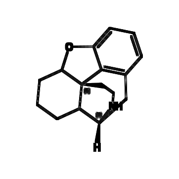 c1cc2c3c(c1)OC1CCCC4[C@@H](C2)NCC[C@]314